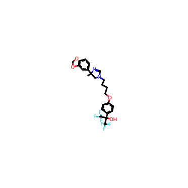 CC1(c2ccc3c(c2)OCO3)CN(CCCCOc2ccc(C(O)(C(F)(F)F)C(F)(F)F)cc2)C=N1